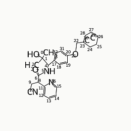 CC(C)(O)C(NC(=O)C(CC#N)c1ccccn1)c1ccc(OCC23CCC(CC2)CC3)cc1